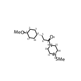 CO[C@H]1CC[C@H](CCC(=O)N2CCN(SC)CC2)CC1